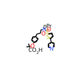 CCCN(CCCc1ccc(OC(C)(C)C(=O)O)cc1)S(=O)(=O)c1ccc(-c2ccncc2)s1